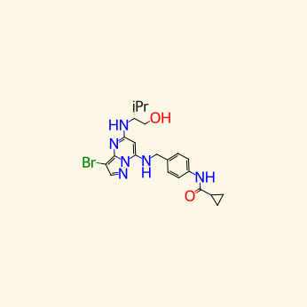 CC(C)[C@H](CO)Nc1cc(NCc2ccc(NC(=O)C3CC3)cc2)n2ncc(Br)c2n1